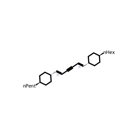 CCCCCC[C@H]1CC[C@H](/C=C/C#C/C=C/[C@H]2CC[C@H](CCCCC)CC2)CC1